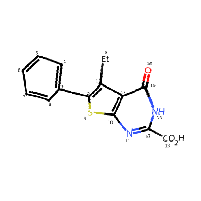 CCc1c(-c2ccccc2)sc2nc(C(=O)O)[nH]c(=O)c12